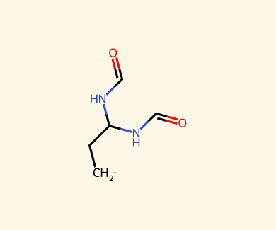 [CH2]CC(NC=O)NC=O